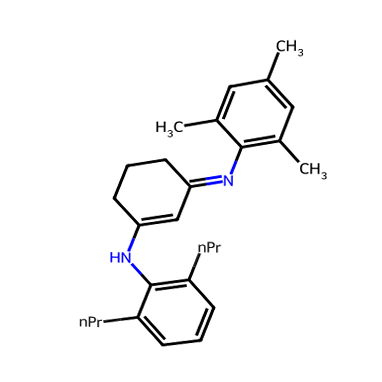 CCCc1cccc(CCC)c1NC1=C/C(=N/c2c(C)cc(C)cc2C)CCC1